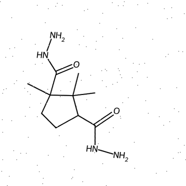 CC1(C(=O)NN)CCC(C(=O)NN)C1(C)C